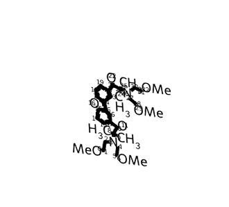 COCCN(CCOC)C(C)(C)C(=O)c1ccc2oc3ccc(C(=O)C(C)(C)N(CCOC)CCOC)cc3c2c1